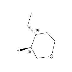 CC[C@@H]1CCOC[C@H]1F